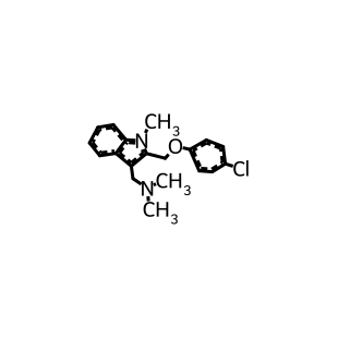 CN(C)Cc1c(COc2ccc(Cl)cc2)n(C)c2ccccc12